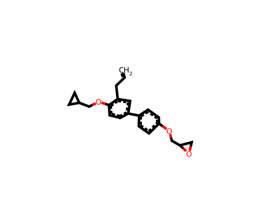 C=CCc1cc(-c2ccc(OCC3CO3)cc2)ccc1OCC1CC1